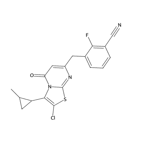 CC1CC1c1c(Cl)sc2nc(Cc3cccc(C#N)c3F)cc(=O)n12